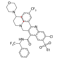 CCS(=O)(=O)c1cc2c(C(=O)NC(c3ccccc3)C(F)(F)F)c(CN3CCC(N4CCOCC4)CC3)c(-c3cccc(C(F)(F)F)c3)nc2cc1Cl